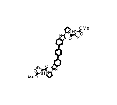 COC(=O)N[C@H](C(=O)N1CCC[C@H]1c1nc2ccc(-c3ccc(-c4ccc5nc([C@@H]6CCCN6C(=O)[C@@H](NC(=O)OC)C(C)C)sc5c4)cc3)cc2s1)C(C)C